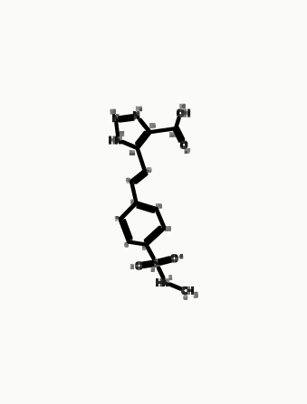 CNS(=O)(=O)c1ccc(C=Cc2[nH]nnc2C(=O)O)cc1